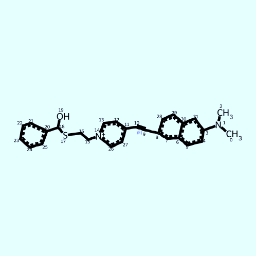 CN(C)c1ccc2cc(/C=C/c3cc[n+](CCSC(O)c4ccccc4)cc3)ccc2c1